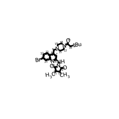 CC1C(=O)N(Nc2cc(CN3CCN(C(=O)CC(C)(C)C)CC3)c3ccc(Br)cc3n2)C(=O)C1C